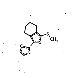 CSc1sc(-c2ncco2)c2c1CCCC2